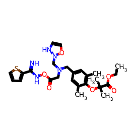 CCOC(=O)C(C)(C)Oc1c(C)cc(CN(CC(=O)ONC(=N)c2cccs2)CN2NC=CO2)cc1C